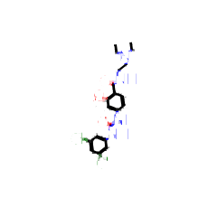 CCN(CC)CCNC(=O)c1ccc(NC(=O)Nc2cc(Cl)cc(Cl)c2)cc1OC